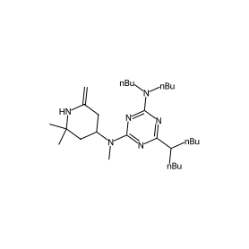 C=C1CC(N(C)c2nc(C(CCCC)CCCC)nc(N(CCCC)CCCC)n2)CC(C)(C)N1